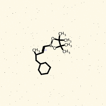 CC(/C=C/B1OC(C)(C)C(C)(C)O1)CC1CCCCC1